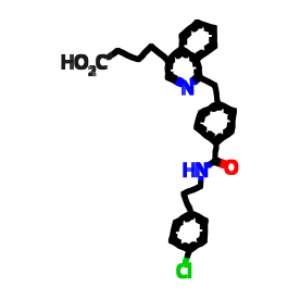 O=C(O)CCCc1cnc(Cc2ccc(C(=O)NCCc3ccc(Cl)cc3)cc2)c2ccccc12